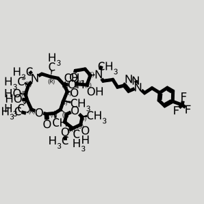 CC[C@H]1OC(=O)[C@H](C)C([C@H]2C[C@@](C)(OC)[C@@H](O)[C@H](C)O2)[C@H](C)[C@@H](O[C@@H]2OCC[C@H](N(C)CCCc3cn(CCc4ccc(C(F)(F)F)cc4)nn3)[C@H]2O)[C@](C)(O)C[C@@H](C)CN(C)[C@H](C)[C@@H](O)[C@]1(C)O